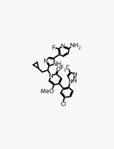 COc1cn(C(CC2CC2)c2ncc(-c3ccc(N)nc3F)[nH]2)c(=O)cc1-c1cc(Cl)ccc1-n1cc(C(F)(F)F)nn1